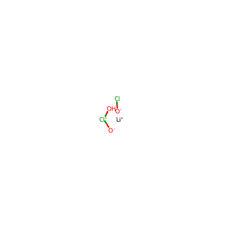 [Li+].[O-]Cl.[O-][Cl+]O